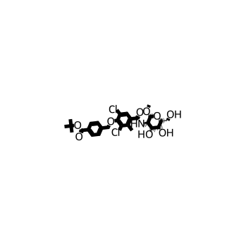 CO[C@H]1O[C@H](CO)[C@@H](O)[C@H](O)[C@H]1NC(=O)c1cc(Cl)c(OCc2ccc(C(=O)OC(C)(C)C)cc2)c(Cl)c1C